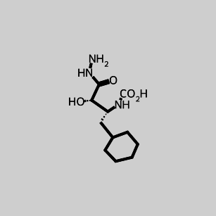 NNC(=O)[C@@H](O)[C@@H](CC1CCCCC1)NC(=O)O